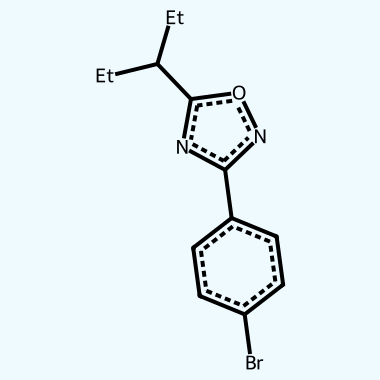 CCC(CC)c1nc(-c2ccc(Br)cc2)no1